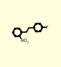 O=[N+]([O-])c1ccccc1CCc1ccc(F)cc1